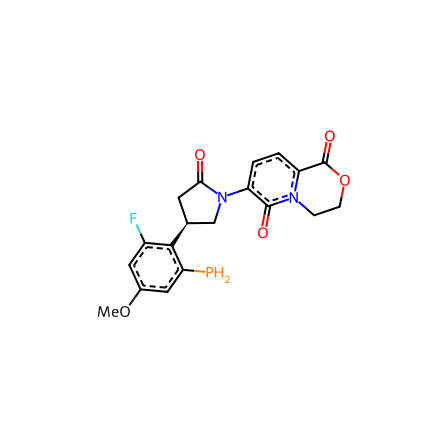 COc1cc(F)c([C@H]2CC(=O)N(c3ccc4n(c3=O)CCOC4=O)C2)c(P)c1